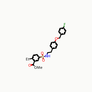 CCc1ccc(S(=O)(=O)NCCc2ccc(OCc3ccc(F)cc3)cc2)cc1C(=O)OC